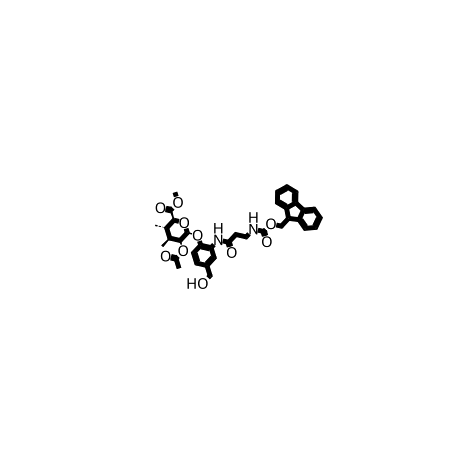 COC(=O)[C@H]1O[C@H](Oc2ccc(CO)cc2NC(=O)CCNC(=O)OCC2c3ccccc3-c3ccccc32)[C@H](OC(C)=O)[C@@H](C)[C@@H]1C